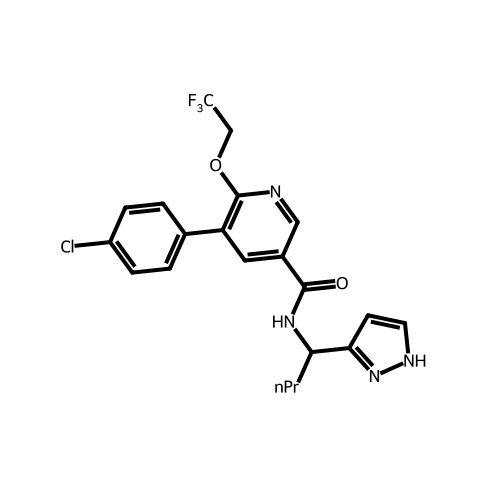 CCCC(NC(=O)c1cnc(OCC(F)(F)F)c(-c2ccc(Cl)cc2)c1)c1cc[nH]n1